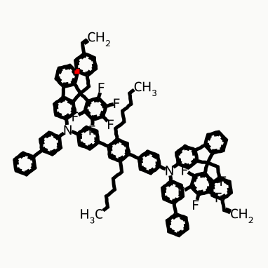 C=Cc1ccc(CC2(c3c(F)c(F)c(F)c(F)c3F)c3ccccc3-c3ccc(N(c4ccc(-c5ccccc5)cc4)c4ccc(-c5cc(CCCCCC)c(-c6ccc(N(c7ccc(-c8ccccc8)cc7)c7ccc8c(c7)C(Cc7ccc(C=C)cc7)(c7c(F)c(F)c(F)c(F)c7F)c7ccccc7-8)cc6)cc5CCCCCC)cc4)cc32)cc1